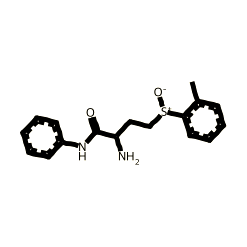 Cc1ccccc1[S+]([O-])CCC(N)C(=O)Nc1ccccc1